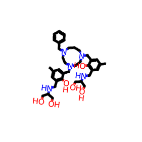 Cc1cc(CNC(CO)CO)c(O)c(CN2CCCN(Cc3ccccc3)CCN(Cc3cc(C)cc(CNC(CO)CO)c3O)CC2)c1